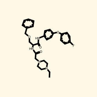 CCN1CCN(CC(=O)NC(COCc2ccccc2)C(=O)Nc2ccc(Oc3ccc(F)cc3)cc2)CC1